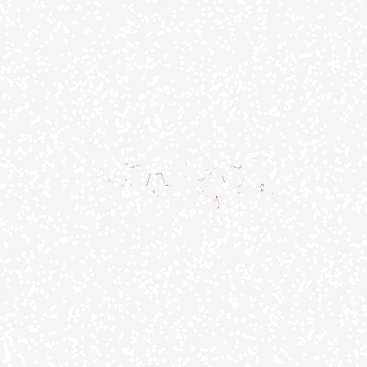 COc1cc2nc(N3CCc4c([nH]c5cc(SC)ccc45)C3)[nH]c(=O)c2cc1OC